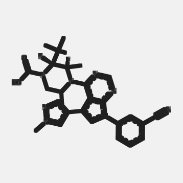 Cn1cc(-c2cn(-c3cccc(C#N)c3)c3ncnc(N4C(F)CN(C(=O)O)[C@](F)(C(C)(C)C)C4(C)F)c23)cn1